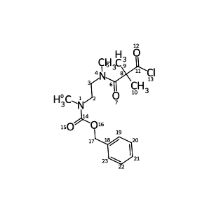 CN(CCN(C)C(=O)C(C)(C)C(=O)Cl)C(=O)OCc1ccccc1